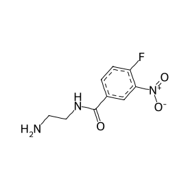 NCCNC(=O)c1ccc(F)c([N+](=O)[O-])c1